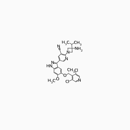 COc1cc2[nH]nc(-c3cnc(N4CC(N)(C(C)C)C4)c(C#N)c3)c2cc1O[C@H](C)c1c(Cl)cncc1Cl